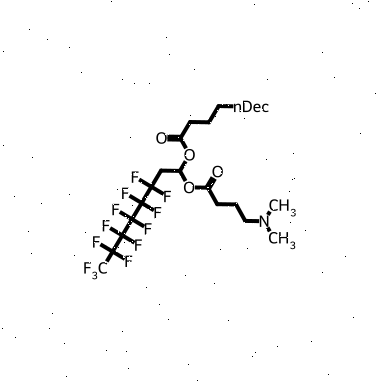 CCCCCCCCCCCCCC(=O)OC(CC(F)(F)C(F)(F)C(F)(F)C(F)(F)C(F)(F)C(F)(F)F)OC(=O)CCCN(C)C